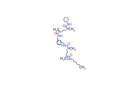 CCCCCCNC(=O)N(C)CCCN(C)C(=O)NCc1cccc(CNC(=O)N(C)CCCN(C)C(=O)NC2CCCCC2)c1